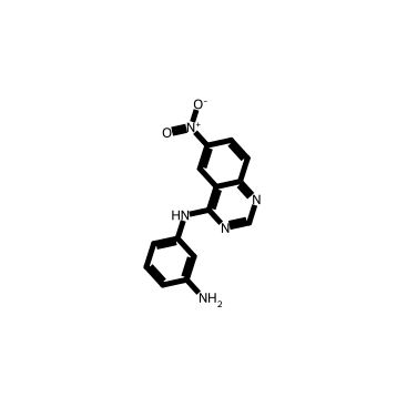 Nc1cccc(Nc2ncnc3ccc([N+](=O)[O-])cc23)c1